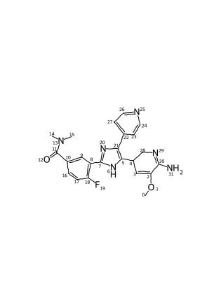 COC1=CC(c2[nH]c(-c3cc(C(=O)N(C)C)ccc3F)nc2-c2ccncc2)CN=C1N